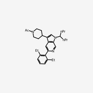 CCCC(CCC)n1cc(C2CCN(C(C)=O)CC2)c2cc(-c3c(CC)cccc3CC)ncc21